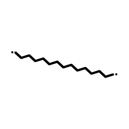 [CH2]CCCCCCCCCCCCC[CH2]